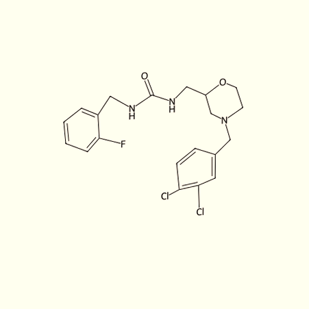 O=C(NCc1ccccc1F)NCC1CN(Cc2ccc(Cl)c(Cl)c2)CCO1